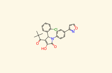 CC(C)(C)C(=O)C1=C(O)C(=O)N(c2ccc(-c3ccon3)cc2)C1c1ccccc1Cl